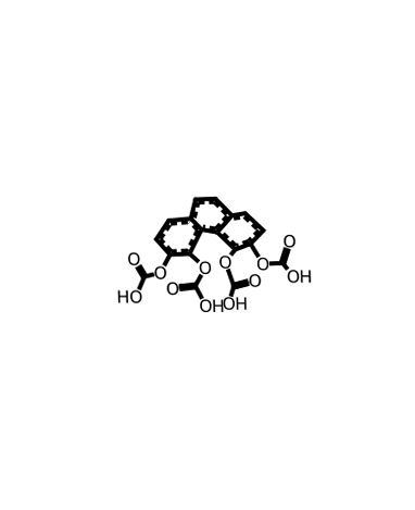 O=C(O)Oc1ccc2ccc3ccc(OC(=O)O)c(OC(=O)O)c3c2c1OC(=O)O